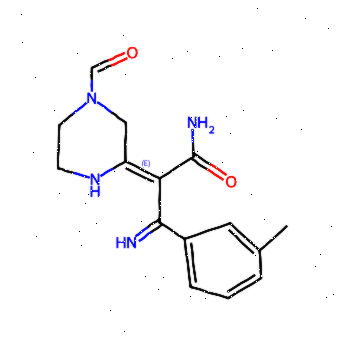 Cc1cccc(C(=N)/C(C(N)=O)=C2/CN(C=O)CCN2)c1